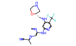 C=N/C(=C\N=C(/C)C#N)Nc1cc(NC[C@H]2CNCCO2)c(C(F)(F)F)cn1